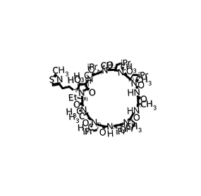 CC[C@@H]1C(=O)N(C)[C@H](C)C(=O)N(C)[C@@H](CC(C)C)C(=O)N[C@H](C(C)C)C(=O)N(C)[C@H](CC(C)C)C(=O)N[C@H](C)C(=O)NC(=O)N(C)[C@H](CC(C)C)C(=O)N(C)C(CC(C)C)C(=O)N(C)[C@@H](C(C)C)C(=O)N(C)[C@@H]2C(=O)N1[C@H](CCCc1csc(C)n1)[C@H]2O